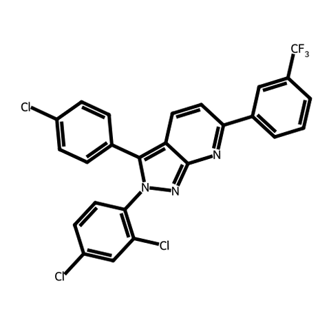 FC(F)(F)c1cccc(-c2ccc3c(-c4ccc(Cl)cc4)n(-c4ccc(Cl)cc4Cl)nc3n2)c1